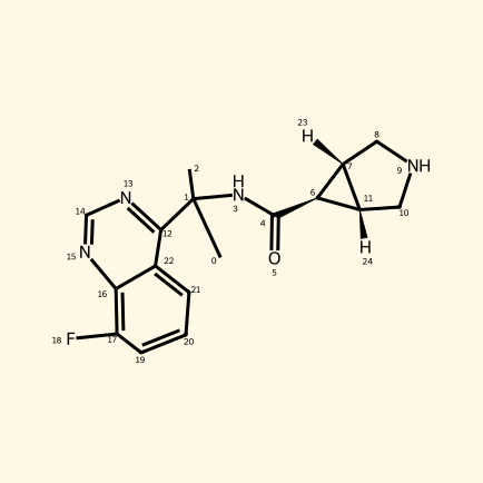 CC(C)(NC(=O)[C@H]1[C@@H]2CNC[C@@H]21)c1ncnc2c(F)cccc12